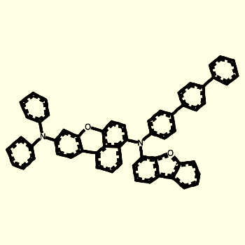 c1ccc(-c2ccc(-c3ccc(N(c4ccc5c6c(cccc46)-c4ccc(N(c6ccccc6)c6ccccc6)cc4O5)c4cccc5c4oc4ccccc45)cc3)cc2)cc1